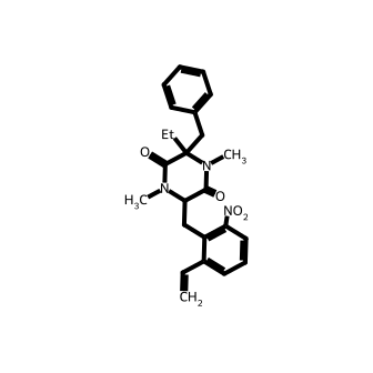 C=Cc1cccc([N+](=O)[O-])c1CC1C(=O)N(C)C(CC)(Cc2ccccc2)C(=O)N1C